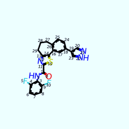 O=C(Nc1c(F)cccc1F)c1nc2c(s1)-c1cc(-c3cn[nH]c3)ccc1CCC2